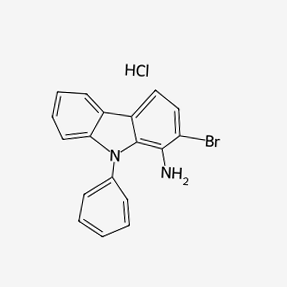 Cl.Nc1c(Br)ccc2c3ccccc3n(-c3ccccc3)c12